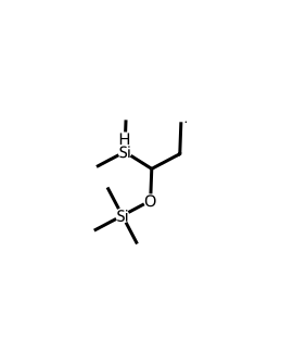 [CH2]CC(O[Si](C)(C)C)[SiH](C)C